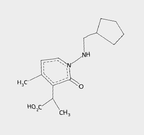 Cc1ccn(NCC2CCCC2)c(=O)c1C(C)C(=O)O